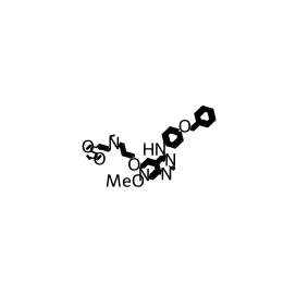 CON1C=c2ncnc(Nc3ccc(OCc4ccccc4)cc3)c2=CC1OCCCN(C)CCS(C)(=O)=O